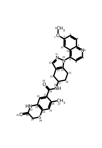 COc1ccc2nccc(-n3ncc4c3CCC(NC(=O)c3cc5c(cc3C)SCC(=O)N5)C4)c2c1